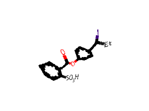 CCC(I)c1ccc(OC(=O)c2ccccc2S(=O)(=O)O)cc1